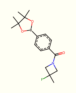 CC1(F)CN(C(=O)c2ccc(B3OC(C)(C)C(C)(C)O3)cc2)C1